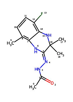 CC(=O)N/N=C1\Nc2c(C)ccc(F)c2NC1(C)C